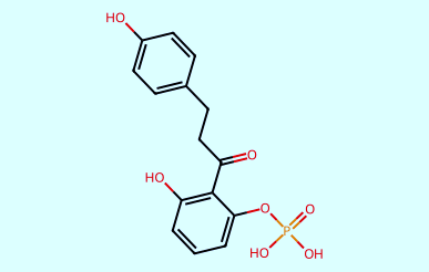 O=C(CCc1ccc(O)cc1)c1c(O)cccc1OP(=O)(O)O